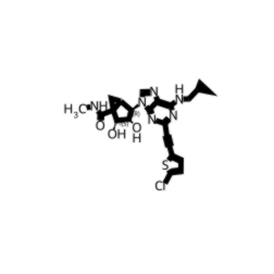 CNC(=O)C12CC1[C@@H](n1cnc3c(NCC4CC4)nc(C#Cc4ccc(Cl)s4)nc31)[C@H](O)[C@@H]2O